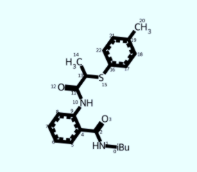 CCC(C)NC(=O)c1ccccc1NC(=O)C(C)Sc1ccc(C)cc1